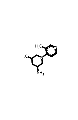 Cc1cnccc1N1CC(C)CC(N)C1